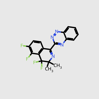 CC1(C)N=C(c2nnc3ccccc3n2)c2ccc(F)c(F)c2C1(F)F